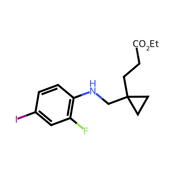 CCOC(=O)CCC1(CNc2ccc(I)cc2F)CC1